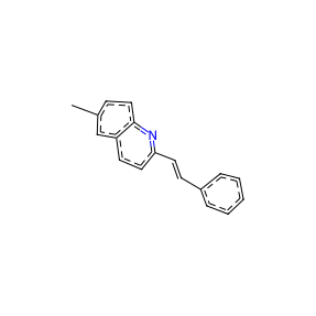 Cc1ccc2nc(C=Cc3ccccc3)ccc2c1